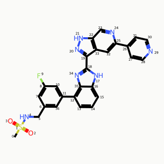 CS(=O)(=O)NCc1cc(F)cc(-c2cccc3[nH]c(-c4n[nH]c5cnc(-c6ccncc6)cc45)nc23)c1